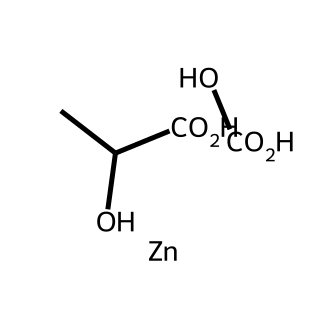 CC(O)C(=O)O.O=C(O)O.[Zn]